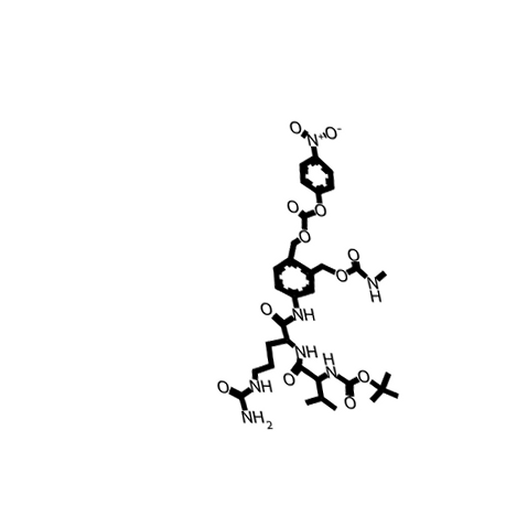 CNC(=O)OCc1cc(NC(=O)C(CCCNC(N)=O)NC(=O)C(NC(=O)OC(C)(C)C)C(C)C)ccc1COC(=O)Oc1ccc([N+](=O)[O-])cc1